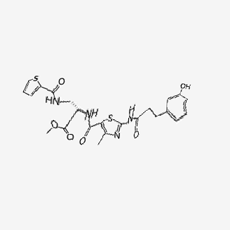 COC(=O)[C@H](CNC(=O)c1cccs1)NC(=O)c1sc(NC(=O)CCc2cccc(O)c2)nc1C